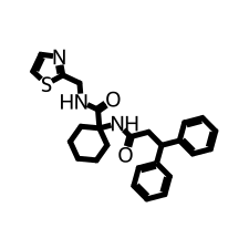 O=C(CC(c1ccccc1)c1ccccc1)NC1(C(=O)NCc2nccs2)CCCCC1